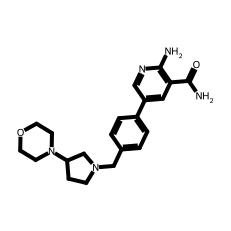 NC(=O)c1cc(-c2ccc(CN3CCC(N4CCOCC4)C3)cc2)cnc1N